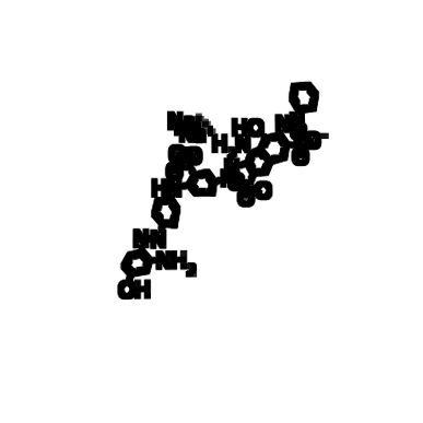 Nc1cc(O)ccc1N=Nc1ccc(Nc2ccc(N=Nc3c(S(=O)(=O)[O-])cc4cc(S(=O)(=O)[O-])c(N=Nc5ccccc5)c(O)c4c3N)cc2S(=O)(=O)[O-])cc1.[Na+].[Na+].[Na+]